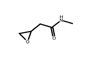 CNC(=O)CC1CO1